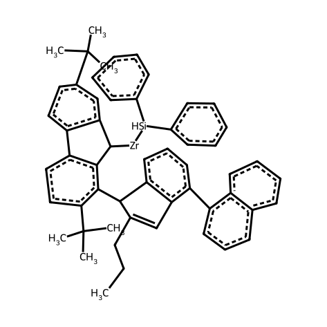 CCCC1=Cc2c(-c3cccc4ccccc34)cccc2C1c1c(C(C)(C)C)ccc2c1[CH]([Zr][SiH](c1ccccc1)c1ccccc1)c1cc(C(C)(C)C)ccc1-2